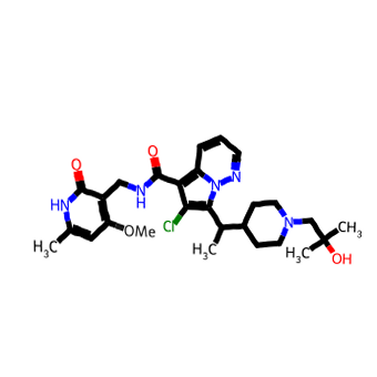 COc1cc(C)[nH]c(=O)c1CNC(=O)c1c(Cl)c(C(C)C2CCN(CC(C)(C)O)CC2)n2ncccc12